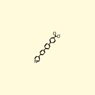 COC(=O)c1ccc(-c2ccc(-c3ccc(-c4ccncc4)cc3)cc2)cc1